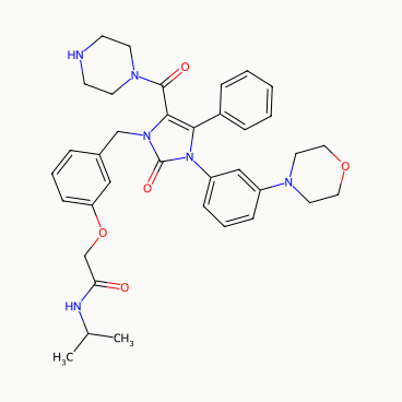 CC(C)NC(=O)COc1cccc(Cn2c(C(=O)N3CCNCC3)c(-c3ccccc3)n(-c3cccc(N4CCOCC4)c3)c2=O)c1